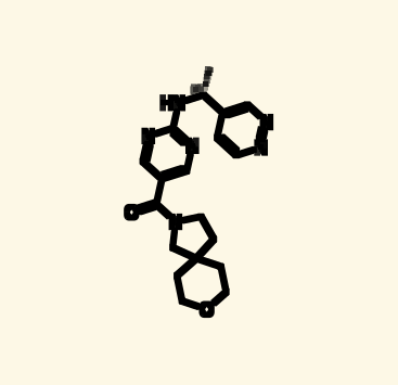 C[C@@H](Nc1ncc(C(=O)N2CCC3(CCOCC3)C2)cn1)c1ccnnc1